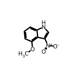 COc1cccc2[nH]cc([N+](=O)[O-])c12